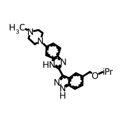 CC(C)OCc1ccc2[nH]nc(-c3nc4ccc(N5CCN(C)CC5)cc4[nH]3)c2c1